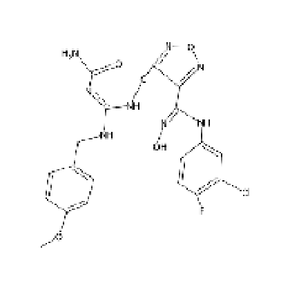 COc1ccc(CNC(=NC(N)=O)NCc2nonc2C(=NO)Nc2ccc(F)c(Cl)c2)cc1